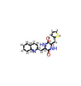 O=c1[nH]/c(=C/c2cccs2)c(=O)[nH]/c1=C\c1ccc2ccccc2n1